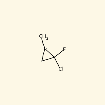 C[C]1CC1(F)Cl